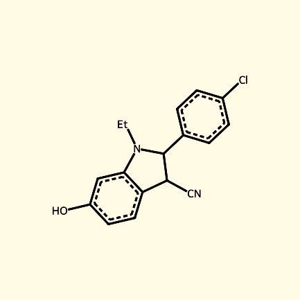 CCN1c2cc(O)ccc2C(C#N)C1c1ccc(Cl)cc1